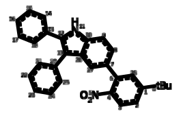 CC(C)(C)c1ccc([N+](=O)[O-])c(-c2ccc3[nH]c(-c4ccccc4)c(-c4ccccc4)c3c2)c1